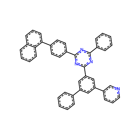 c1ccc(-c2cc(-c3cccnc3)cc(-c3nc(-c4ccccc4)nc(-c4ccc(-c5cccc6ccccc56)cc4)n3)c2)cc1